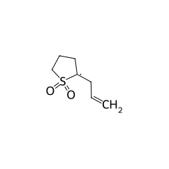 C=CC[C]1CCCS1(=O)=O